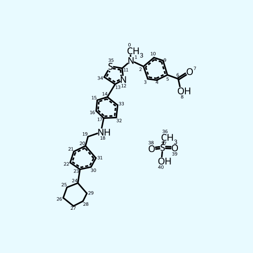 CN(c1ccc(C(=O)O)cc1)c1nc(-c2ccc(NCc3ccc(C4CCCCC4)cc3)cc2)cs1.CS(=O)(=O)O